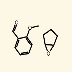 C1CC2OC2C1.COc1ccccc1C=O